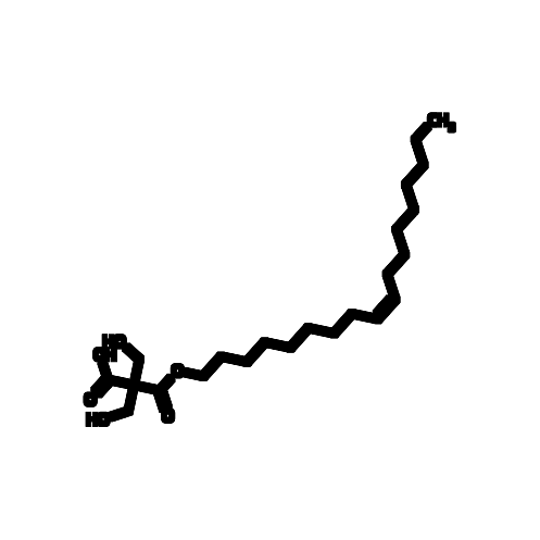 CCCCCCCC/C=C\CCCCCCCCOC(=O)C(CO)(CO)C(=O)O